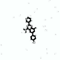 Cc1cc(-c2ccc(Cl)cc2)cc2c(N(C)C)nc(-c3cccnc3)nc12